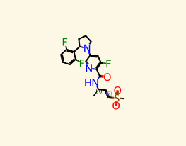 C[C@H](/C=C/S(C)(=O)=O)NC(=O)c1ncc(N2CCCC2c2c(F)cccc2F)cc1F